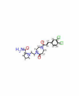 NC(=O)[C@@H]1CCCN1CCN1CCN(C(=O)C=Cc2ccc(Cl)c(Cl)c2)CCC1=O